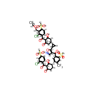 CS(=O)(=O)c1cc(C(F)(F)F)ccc1C(=O)c1cnoc1C1CC1.CS(=O)(=O)c1ccc(C(=O)C2C(=O)CCCC2=O)c(Cl)c1.CS(=O)(=O)c1ccc(C(=O)C2C(=O)CCCC2=O)c(Cl)c1COCC(F)(F)F